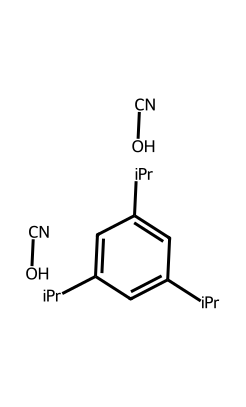 CC(C)c1cc(C(C)C)cc(C(C)C)c1.N#CO.N#CO